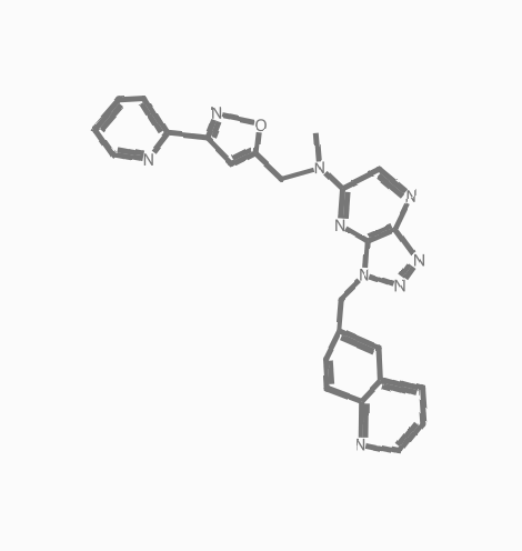 CN(Cc1cc(-c2ccccn2)no1)c1cnc2nnn(Cc3ccc4ncccc4c3)c2n1